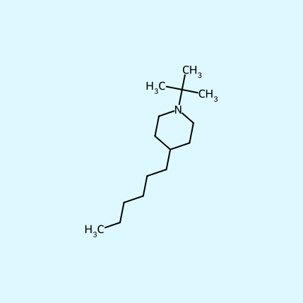 CCCCCCC1CCN(C(C)(C)C)CC1